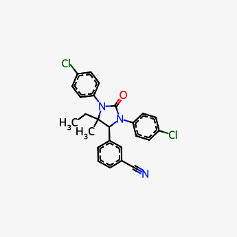 CCC1(C)C(c2cccc(C#N)c2)N(c2ccc(Cl)cc2)C(=O)N1c1ccc(Cl)cc1